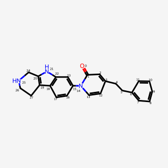 O=c1cc(CCc2ccccc2)ccn1-c1ccc2c3c([nH]c2c1)CNCC3